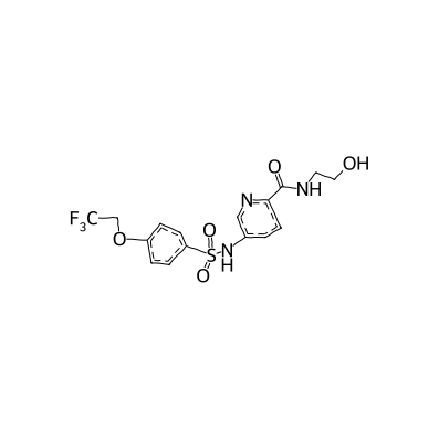 O=C(NCCO)c1ccc(NS(=O)(=O)c2ccc(OCC(F)(F)F)cc2)cn1